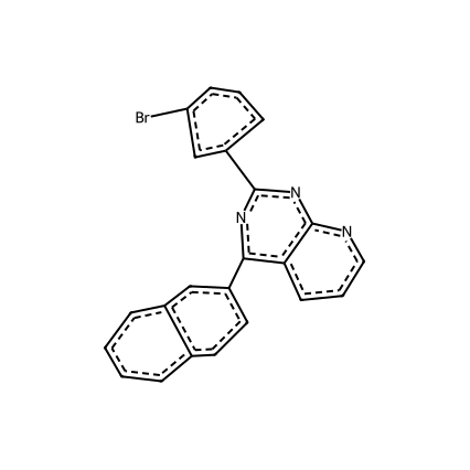 Brc1cccc(-c2nc(-c3ccc4ccccc4c3)c3cccnc3n2)c1